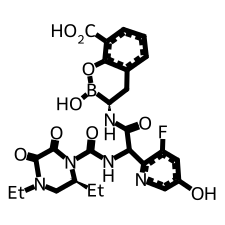 CC[C@H]1CN(CC)C(=O)C(=O)N1C(=O)NC(C(=O)N[C@H]1Cc2cccc(C(=O)O)c2OB1O)c1ncc(O)cc1F